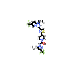 Cc1cc(C(F)(F)F)nn1CC(=O)N1CCC(c2nc(/C=N/N(C)c3ccc(C(F)(F)F)cn3)cs2)CC1